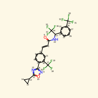 O=C(/C=C/c1ccc(-c2noc(C3CC3)n2)c(C(F)(F)F)c1)NC(c1cccc(C(F)(F)F)c1)C(F)(F)F